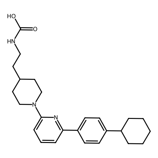 O=C(O)NCCC1CCN(c2cccc(-c3ccc(C4CCCCC4)cc3)n2)CC1